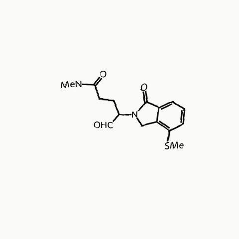 CNC(=O)CCC(C=O)N1Cc2c(SC)cccc2C1=O